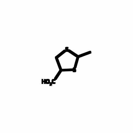 CC1SCC(C(=O)O)S1